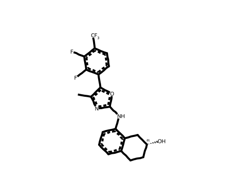 Cc1nc(Nc2cccc3c2C[C@H](O)CC3)oc1-c1ccc(C(F)(F)F)c(F)c1F